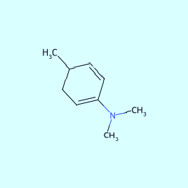 CC1C=CC(N(C)C)=CC1